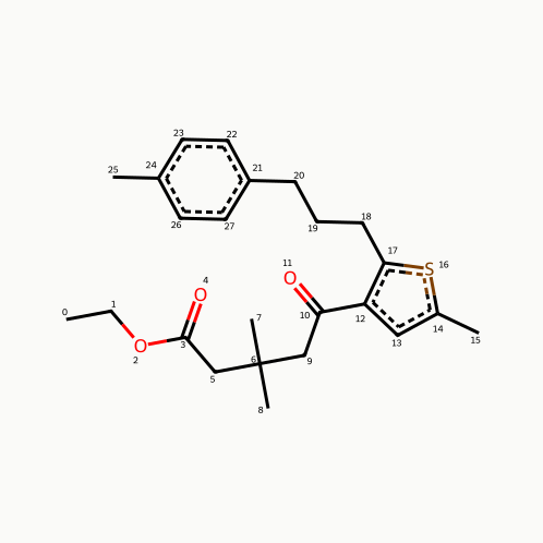 CCOC(=O)CC(C)(C)CC(=O)c1cc(C)sc1CCCc1ccc(C)cc1